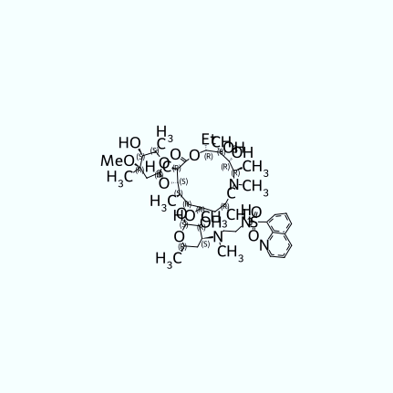 CC[C@H]1OC(=O)[C@H](C)[C@@H](O[C@H]2C[C@@](C)(OC)[C@@H](O)[C@H](C)O2)[C@H](C)[C@@H](O[C@@H]2O[C@H](C)C[C@H](N(C)CCNS(=O)(=O)c3cccc4cccnc34)[C@H]2O)[C@](C)(O)C[C@@H](C)CN(C)[C@H](C)[C@@H](O)[C@]1(C)O